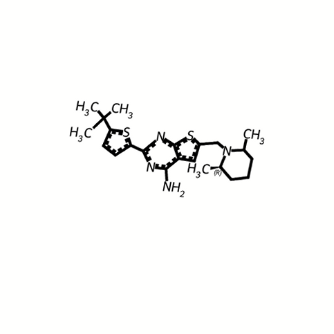 CC1CCC[C@@H](C)N1Cc1cc2c(N)nc(-c3ccc(C(C)(C)C)s3)nc2s1